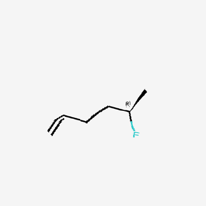 C=CCC[C@@H](C)F